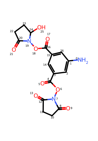 Nc1cc(C(=O)ON2C(=O)CCC2=O)cc(C(=O)ON2C(=O)CCC2O)c1